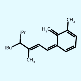 C=c1c(C)ccc/c1=C/C=C(\C)C(C(C)C)C(C)(C)C